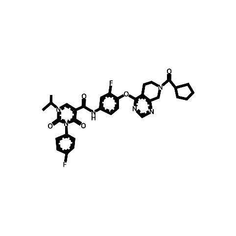 CC(C)n1cc(C(=O)Nc2ccc(Oc3ncnc4c3CCN(C(=O)C3CCCC3)C4)c(F)c2)c(=O)n(-c2ccc(F)cc2)c1=O